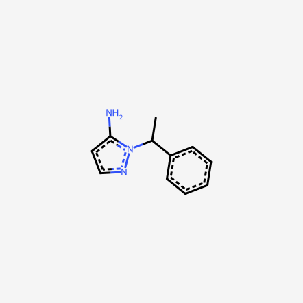 CC(c1ccccc1)n1nccc1N